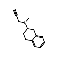 C#CCN(C)C1CCc2ccccc2C1